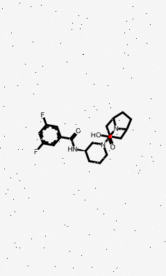 O=C(N[C@@H]1CCCN(C2CC3CCC(C2)N3C(=O)O)C1)c1cc(F)cc(F)c1